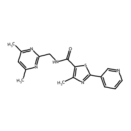 Cc1cc(C)nc(CNC(=O)c2sc(-c3cccnc3)nc2C)n1